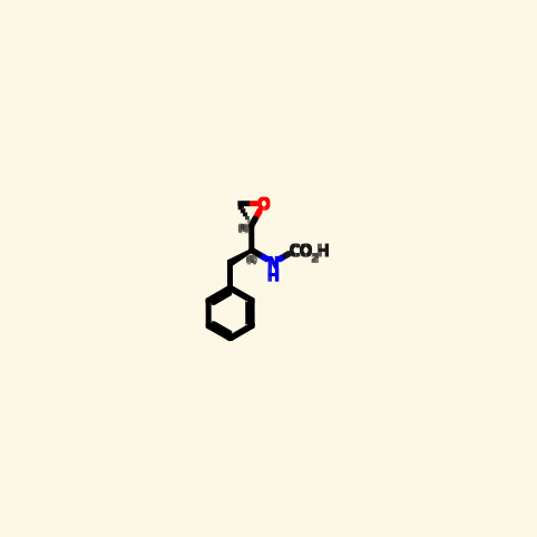 O=C(O)N[C@@H](Cc1ccccc1)[C@@H]1CO1